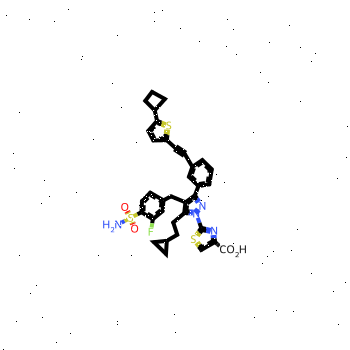 NS(=O)(=O)c1ccc(Cc2c(-c3cccc(C#Cc4ccc(C5CCC5)s4)c3)nn(-c3nc(C(=O)O)cs3)c2CCC2CC2)cc1F